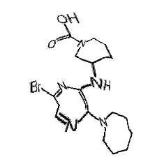 O=C(O)N1CCCC(Nc2nc(Br)cnc2N2CCCCCC2)C1